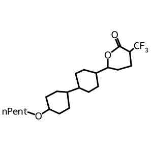 CCCCCOC1CCC(C2CCC(C3CCC(C(F)(F)F)C(=O)O3)CC2)CC1